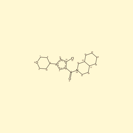 O=C(c1cc(C2CCOCC2)sc1Cl)N1CCC2CCCCC2C1